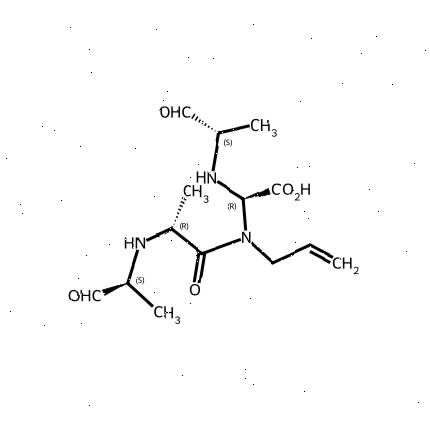 C=CCN(C(=O)[C@@H](C)N[C@@H](C)C=O)[C@@H](N[C@@H](C)C=O)C(=O)O